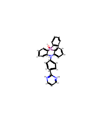 O=P1(c2ccccc2)c2ccccc2N(c2ccc(-c3ncccn3)cc2)c2ccccc21